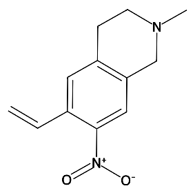 C=Cc1cc2c(cc1[N+](=O)[O-])CN(C)CC2